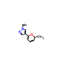 CC1C=CC=C(c2cnn(C(C)(C)C)c2)O1